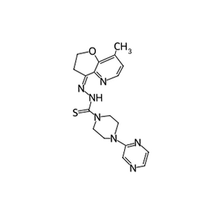 Cc1ccnc2c1OCC/C2=N/NC(=S)N1CCN(c2cnccn2)CC1